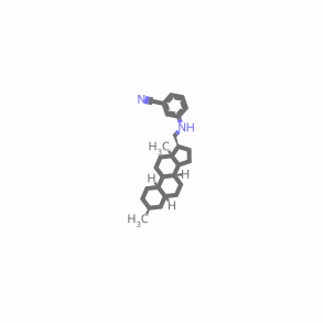 C[C@H]1CC[C@@H]2C3CC[C@@]4(C)C(CC[C@@H]4CNc4cccc(C#N)c4)[C@@H]3CC[C@@H]2C1